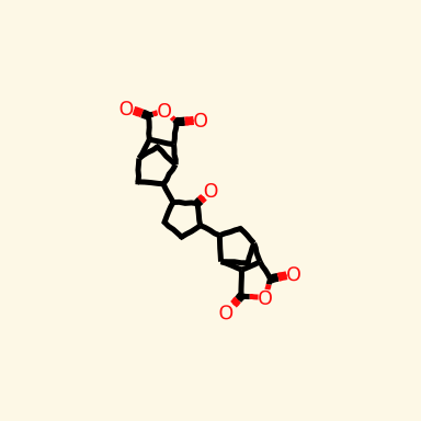 O=C1C(C2CC3CC2C2C(=O)OC(=O)C32)CCC1C1CC2CC1C1C(=O)OC(=O)C21